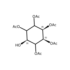 CC(=O)OC1C(OC(C)=O)[C@@H](OC(C)=O)[C@@H](OC(C)=O)C(OC(C)=O)[C@H]1O